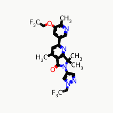 Cc1cc(-c2cnc(C)c(OCC(F)(F)F)c2)nc2c1C(=O)N(c1cnn(CC(F)(F)F)c1)C2(C)C